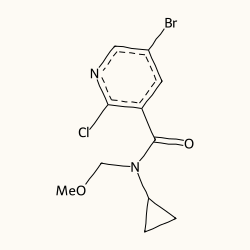 COCN(C(=O)c1cc(Br)cnc1Cl)C1CC1